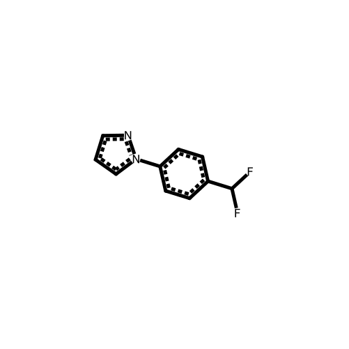 FC(F)c1ccc(-n2cccn2)cc1